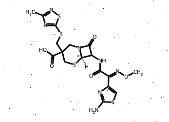 CON=C(C(=O)NC1C(=O)N2CC(CSc3nc(C)ns3)(C(=O)O)CS[C@H]12)c1csc(N)n1